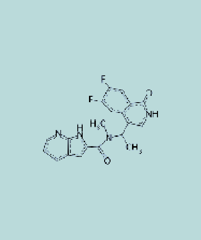 CC(c1c[nH]c(=O)c2cc(F)c(F)cc12)N(C)C(=O)c1cc2cccnc2[nH]1